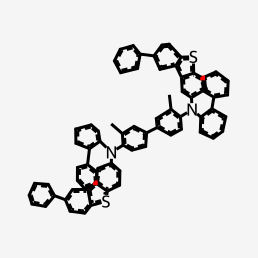 Cc1cc(-c2ccc(N(c3ccc4sc5ccc(-c6ccccc6)cc5c4c3)c3ccccc3-c3ccccc3)c(C)c2)ccc1N(c1ccc2sc3ccc(-c4ccccc4)cc3c2c1)c1ccccc1-c1ccccc1